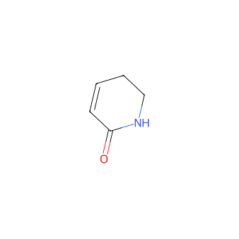 O=C1C=CCCN1